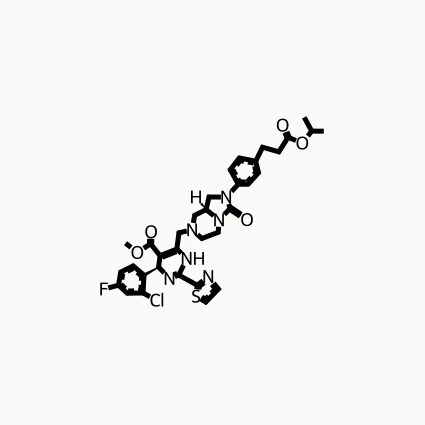 COC(=O)C1=C(CN2CCN3C(=O)N(c4ccc(CCC(=O)OC(C)C)cc4)C[C@@H]3C2)NC(c2nccs2)=N[C@H]1c1ccc(F)cc1Cl